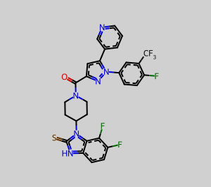 O=C(c1cc(-c2cccnc2)n(-c2ccc(F)c(C(F)(F)F)c2)n1)N1CCC(n2c(=S)[nH]c3ccc(F)c(F)c32)CC1